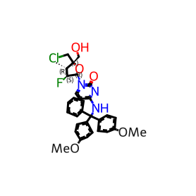 COc1ccc(C(Nc2ccn([C@@H]3O[C@@](CO)(CCl)[C@@H](C)[C@@H]3F)c(=O)n2)(c2ccccc2)c2ccc(OC)cc2)cc1